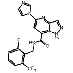 O=C(NCc1c(F)cccc1C(F)(F)F)c1cc(-n2ccnc2)nc2cn[nH]c12